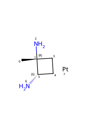 C[C@@]1(N)CC[C@@H]1N.[Pt]